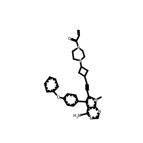 C=CC(=O)N1CCN(C2CC(C#Cc3c(-c4ccc(Oc5ccccc5)cc4)c4c(N)ncnc4n3C)C2)CC1